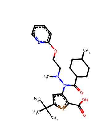 CC1CCC(C(=O)N(c2cc(C(C)(C)C)sc2C(=O)O)N(C)CCOc2ccccn2)CC1